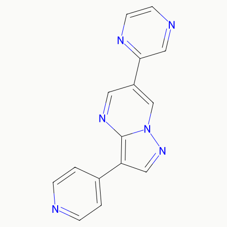 c1cc(-c2cnn3cc(-c4cnccn4)cnc23)ccn1